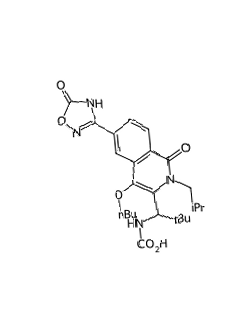 CCCCOc1c(C(NC(=O)O)C(C)(C)C)n(CC(C)C)c(=O)c2ccc(-c3noc(=O)[nH]3)cc12